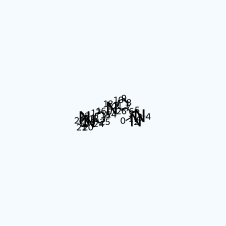 Cc1nn(C)cc1-c1cccc(N(C)Cc2ccc(-n3cccn3)cc2)c1